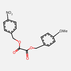 COc1ccc(COC(=O)C(=O)OCc2ccc([N+](=O)[O-])cc2)cc1